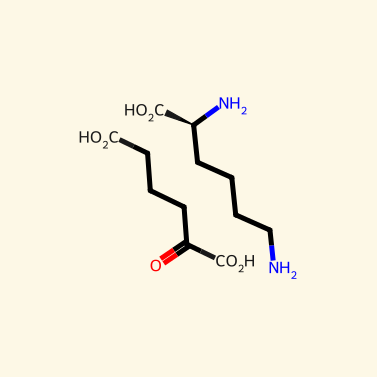 NCCCC[C@H](N)C(=O)O.O=C(O)CCCC(=O)C(=O)O